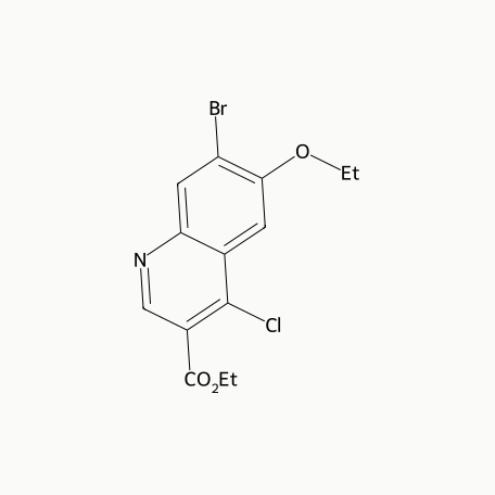 CCOC(=O)c1cnc2cc(Br)c(OCC)cc2c1Cl